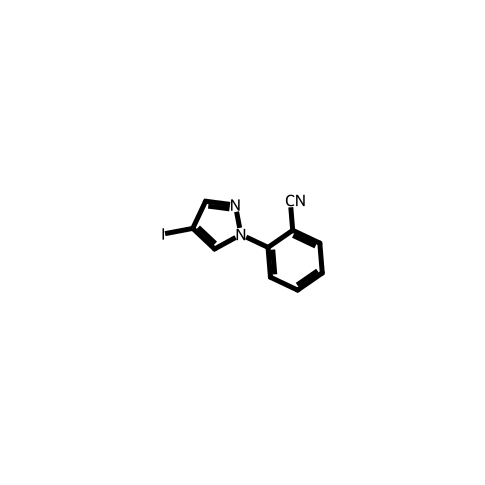 N#Cc1ccccc1-n1cc(I)cn1